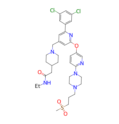 CCNC(=O)CC1CCN(Cc2cc(Oc3ccc(N4CCN(CCCS(C)(=O)=O)CC4)nc3)nc(-c3cc(Cl)cc(Cl)c3)c2)CC1